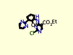 CCOC(=O)c1cnc(Cl)nc1Nc1cccc(-c2ncccn2)c1OC